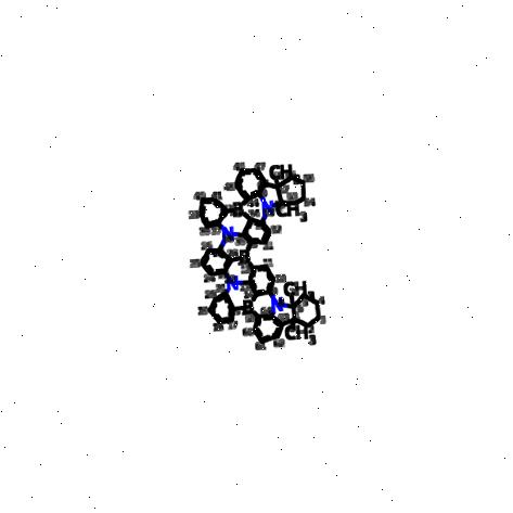 CC12CCCCC1(C)N1c3ccc4c5c3B(c3ccccc3N5c3cccc5c3B4c3ccc4c6c3N5c3ccccc3B6c3cccc5c3N4C3(C)CCCCC53C)c3cccc2c31